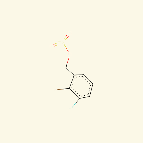 O=[SH](=O)O[CH]c1cccc(F)c1Br